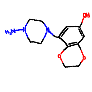 NN1CCN(c2cc(O)cc3c2OCCO3)CC1